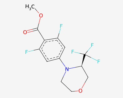 COC(=O)c1c(F)cc(N2CCOC[C@@H]2C(F)(F)F)cc1F